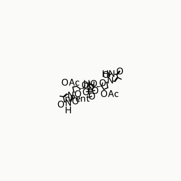 CCCCCOP(=O)(OC(O)[C@H]1O[C@@H](n2cc(C)c(=O)[nH]c2=O)C[C@@H]1OC(C)=O)OC(O)[C@H]1O[C@@H](n2cc(C)c(=O)[nH]c2=O)C[C@@H]1OC(C)=O